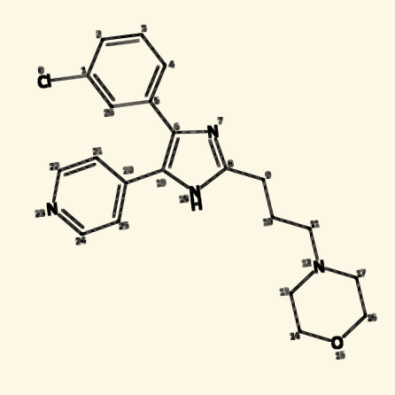 Clc1cccc(-c2nc(CCCN3CCOCC3)[nH]c2-c2ccncc2)c1